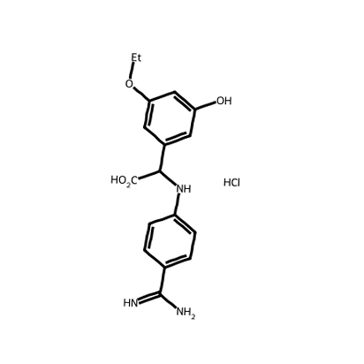 CCOc1cc(O)cc(C(Nc2ccc(C(=N)N)cc2)C(=O)O)c1.Cl